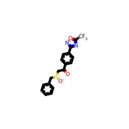 O=C(C[S+]([O-])Cc1ccccc1)c1ccc(-c2noc(C(F)(F)F)n2)cc1